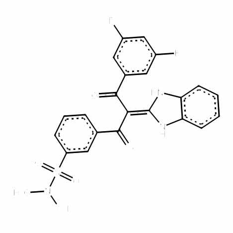 CN(C)S(=O)(=O)c1cccc(C(=O)C(C(=O)c2cc(F)cc(F)c2)=C2Nc3ccccc3N2)c1